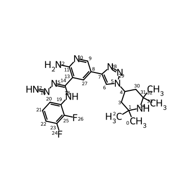 CC1(C)CC(n2cc(-c3cnc(N)c(/C(=N/N=N)Nc4cccc(F)c4F)c3)nn2)CC(C)(C)N1